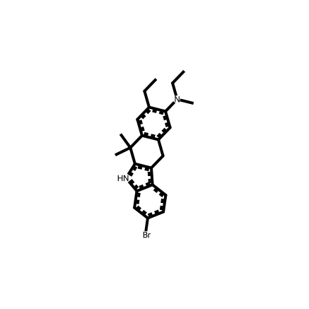 CCc1cc2c(cc1N(C)CC)Cc1c([nH]c3cc(Br)ccc13)C2(C)C